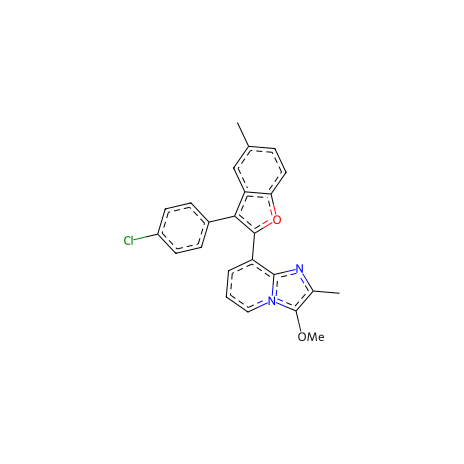 COc1c(C)nc2c(-c3oc4ccc(C)cc4c3-c3ccc(Cl)cc3)cccn12